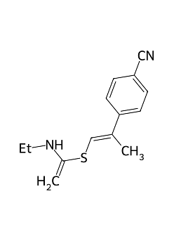 C=C(NCC)S/C=C(\C)c1ccc(C#N)cc1